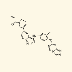 C=CC(=O)N1CCC=C(c2ccc3ncnc(Nc4ccc(Oc5cc6nncn6cn5)c(C)c4)c3c2)C1